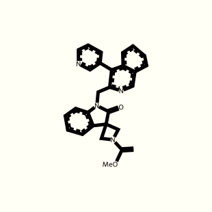 C=C(OC)N1CC2(C1)C(=O)N(Cc1ncc3ccccc3c1-c1cccnc1)c1ccccc12